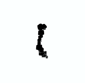 NC(=O)Nc1cc2cc(C#[N+]CCCCN3CCN(c4cccc5c4OCC5)CC3)ccc2s1